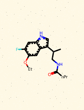 CCCC(=O)NCC(C)c1c[nH]c2cc(F)c(OCC)cc12